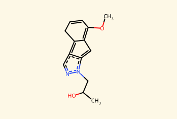 COC1=C2C=c3c(cnn3CC(C)O)=C2CC=C1